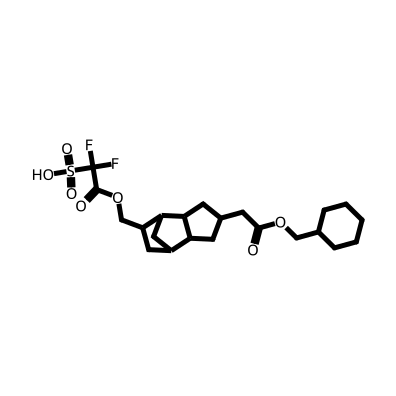 O=C(CC1CC2C3CC(COC(=O)C(F)(F)S(=O)(=O)O)C(C3)C2C1)OCC1CCCCC1